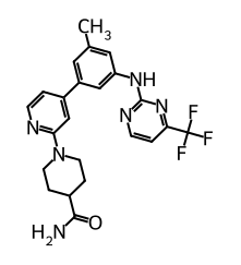 Cc1cc(Nc2nccc(C(F)(F)F)n2)cc(-c2ccnc(N3CCC(C(N)=O)CC3)c2)c1